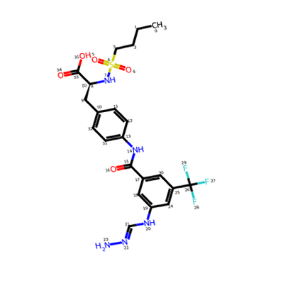 CCCCS(=O)(=O)N[C@@H](Cc1ccc(NC(=O)c2cc(NC=NN)cc(C(F)(F)F)c2)cc1)C(=O)O